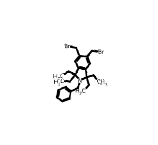 CCC1(CC)c2cc(CBr)c(CBr)cc2C(CC)(CC)N1Cc1ccccc1